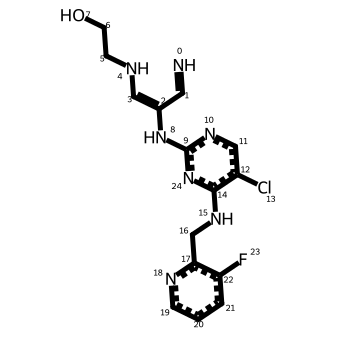 N=C/C(=C\NCCO)Nc1ncc(Cl)c(NCc2ncccc2F)n1